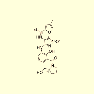 CC[C@@H](Nc1n[s+]([O-])nc1Nc1cccc(C(=O)N2CCC[C@H]2CO)c1O)c1cc(C)co1